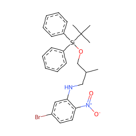 CC(CNc1cc(Br)ccc1[N+](=O)[O-])CO[Si](c1ccccc1)(c1ccccc1)C(C)(C)C